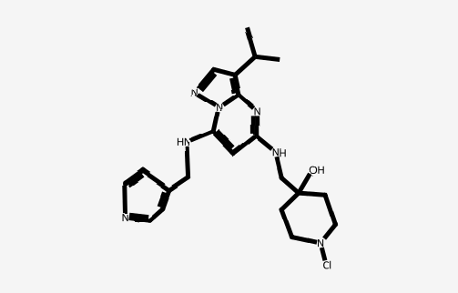 CC(C)c1cnn2c(NCc3ccncc3)cc(NCC3(O)CCN(Cl)CC3)nc12